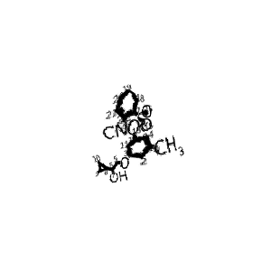 Cc1cc(OCC(O)C2CC2)cc(OS(=O)(=O)c2ccccc2C#N)c1